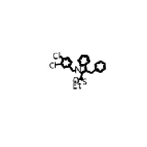 CCOC(=S)c1c(Cc2ccccc2)c2ccccc2n1Cc1ccc(Cl)c(Cl)c1